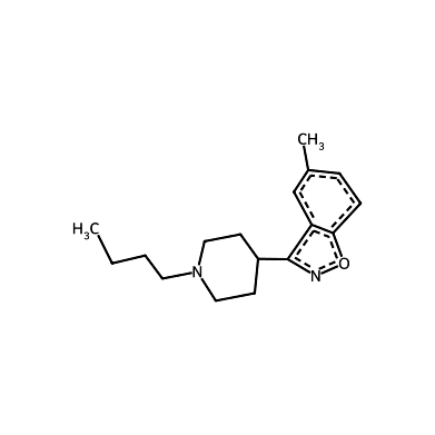 CCCCN1CCC(c2noc3ccc(C)cc23)CC1